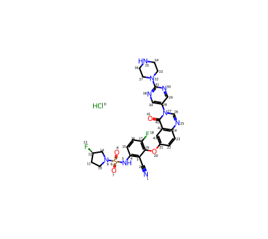 Cl.N#Cc1c(NS(=O)(=O)N2CC[C@@H](F)C2)ccc(F)c1Oc1ccc2ncn(-c3cnc(N4CCNCC4)nc3)c(=O)c2c1